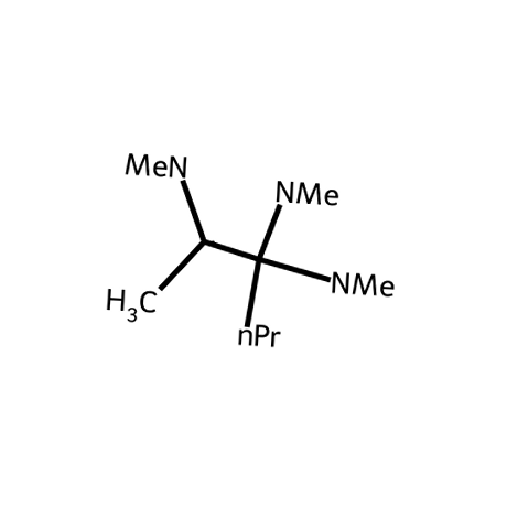 CCCC(NC)(NC)[C](C)NC